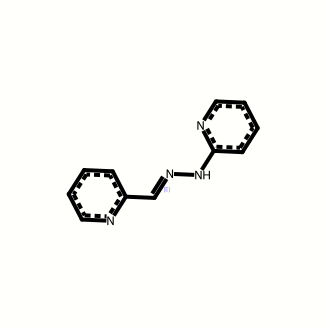 C(=N\Nc1ccccn1)/c1ccccn1